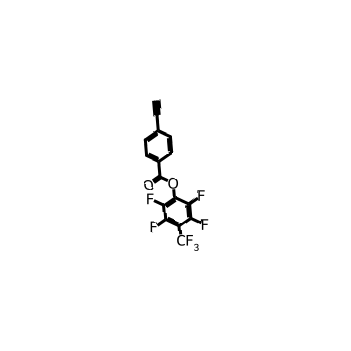 C#Cc1ccc(C(=O)Oc2c(F)c(F)c(C(F)(F)F)c(F)c2F)cc1